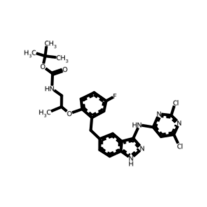 CC(CNC(=O)OC(C)(C)C)Oc1ccc(F)cc1Cc1ccc2[nH]nc(Nc3cc(Cl)nc(Cl)n3)c2c1